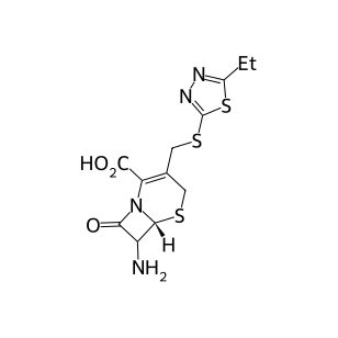 CCc1nnc(SCC2=C(C(=O)O)N3C(=O)C(N)[C@H]3SC2)s1